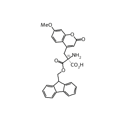 COc1ccc2c(C[C@](N)(C(=O)O)C(=O)OCC3c4ccccc4-c4ccccc43)cc(=O)oc2c1